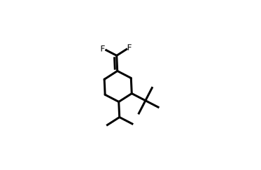 CC(C)C1CCC(=C(F)F)CC1C(C)(C)C